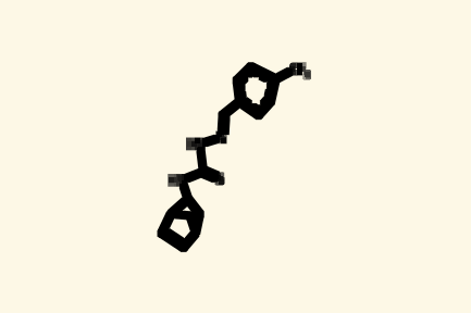 FC(F)(F)c1ccc(/C=N/NC(=S)NC2CC3C=CC2C3)cc1